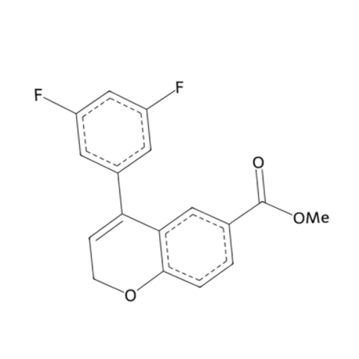 COC(=O)c1ccc2c(c1)C(c1cc(F)cc(F)c1)=CCO2